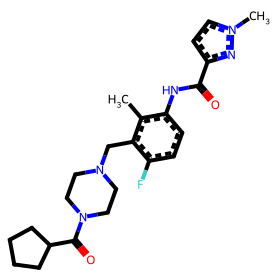 Cc1c(NC(=O)c2ccn(C)n2)ccc(F)c1CN1CCN(C(=O)C2CCCC2)CC1